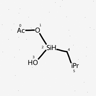 CC(=O)O[SiH](O)CC(C)C